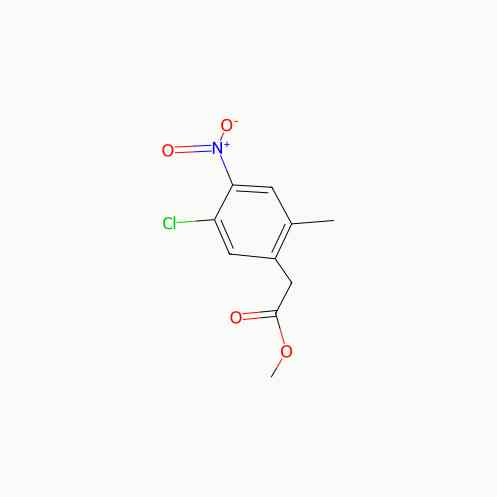 COC(=O)Cc1cc(Cl)c([N+](=O)[O-])cc1C